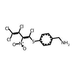 NCc1ccc(SC(Cl)=C(C(Cl)=C(Cl)Cl)[N+](=O)[O-])cc1